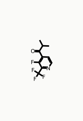 CC(C)C(=O)c1ccnc(C(F)(F)F)c1F